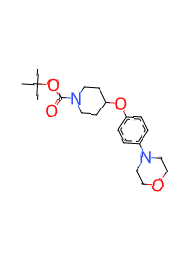 CC(C)(C)OC(=O)N1CCC(Oc2ccc(N3CCOCC3)cc2)CC1